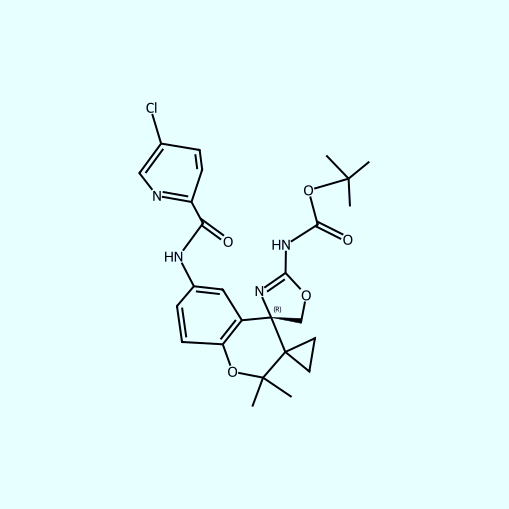 CC(C)(C)OC(=O)NC1=N[C@@]2(CO1)c1cc(NC(=O)c3ccc(Cl)cn3)ccc1OC(C)(C)C21CC1